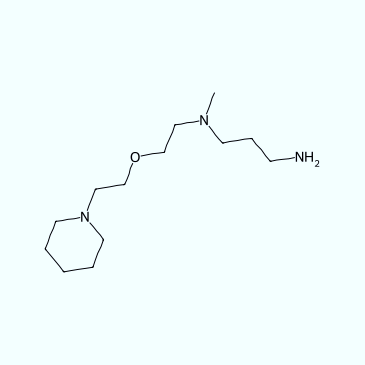 CN(CCCN)CCOCCN1CCCCC1